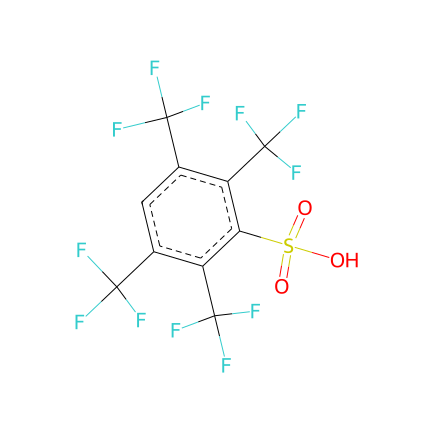 O=S(=O)(O)c1c(C(F)(F)F)c(C(F)(F)F)cc(C(F)(F)F)c1C(F)(F)F